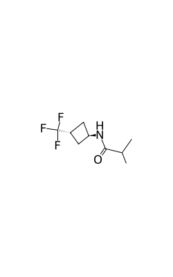 CC(C)C(=O)N[C@H]1C[C@H](C(F)(F)F)C1